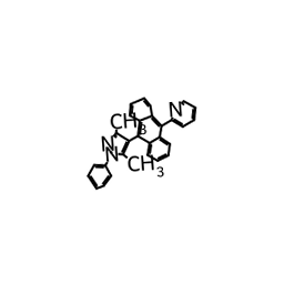 Cc1nn(-c2ccccc2)c(C)c1-c1c2ccccc2c(-c2ccccn2)c2ccccc12